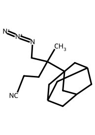 CC(CCC#N)(CN=[N+]=[N-])C12CC3CC(CC(C3)C1)C2